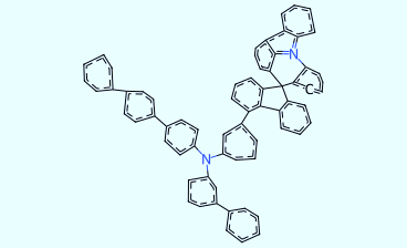 c1ccc(-c2ccc(-c3ccc(N(c4cccc(-c5ccccc5)c4)c4cccc(-c5cccc6c5-c5ccccc5C65c6ccccc6-n6c7ccccc7c7cccc5c76)c4)cc3)cc2)cc1